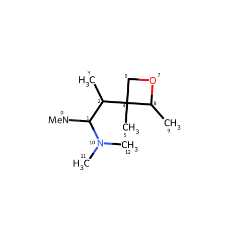 CNC(C(C)C1(C)COC1C)N(C)C